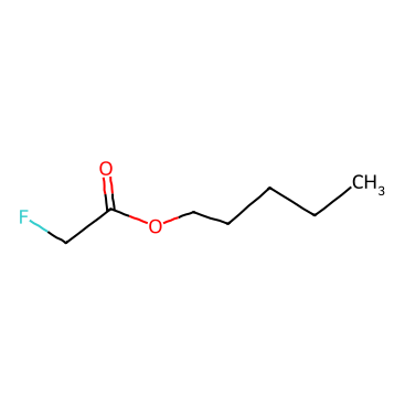 CCCCCOC(=O)CF